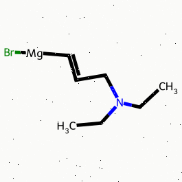 CCN(CC)CC=[CH][Mg][Br]